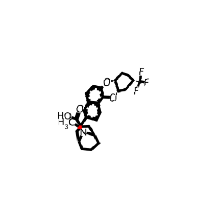 CC(c1ccc2c(Cl)c(O[C@H]3CC[C@@H](C(F)(F)F)CC3)ccc2c1)N1C2CCCC1CC(C(=O)O)C2